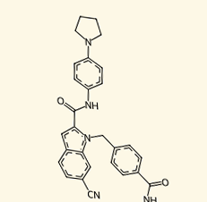 N#Cc1ccc2cc(C(=O)Nc3ccc(N4CCCC4)cc3)n(Cc3ccc(C(N)=O)cc3)c2c1